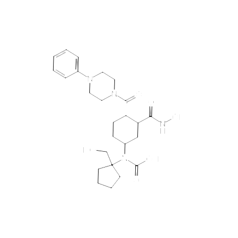 O=C(NO)C1CC(N(C(=O)O)C2(CO)CCCC2)CC[C@@H]1C(=O)N1CCN(c2ccccc2)CC1